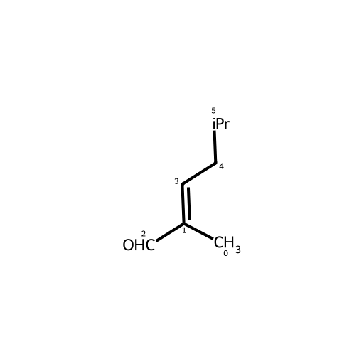 CC(C=O)=CCC(C)C